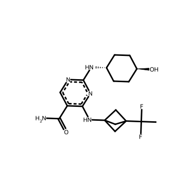 CC(F)(F)C12CC(Nc3nc(N[C@H]4CC[C@H](O)CC4)ncc3C(N)=O)(C1)C2